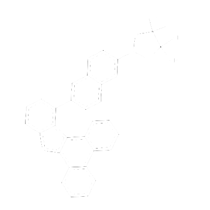 CC1(C)OB(c2ccc3cc(-c4cccc5oc6c7ccccc7c7ccccc7c6c45)ccc3c2)OC1(C)C